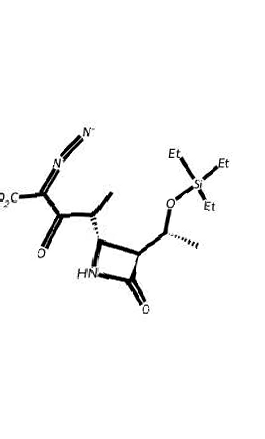 CC[Si](CC)(CC)O[C@H](C)[C@H]1C(=O)N[C@@H]1C(C)C(=O)C(=[N+]=[N-])C(=O)O